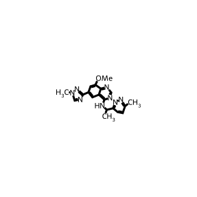 COc1cc(-c2ncn(C)n2)cc2c(NC(C)c3ccc(C)nn3)ncnc12